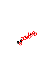 C=CC(=O)OCCOC(=O)CCC(=O)OCCOCCOc1ccc(C(=O)c2ccccc2)cc1